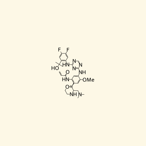 C=CC(=O)Nc1cc(Nc2ncnc(Nc3cc(F)c(F)cc3C(C)(C)O)n2)c(OC)cc1[C@@H]1OCCNC1CN(C)C